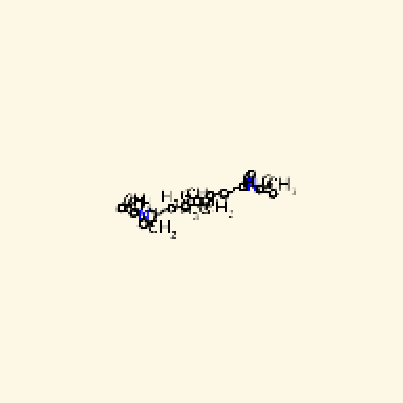 C=C1/C=C(/C=C/c2ccc(-c3ccc4c(c3)C(C)(C)c3cc5c(cc3-4)C(C)(C)c3cc(-c4ccc(/C=C/c6ccc7c(c6)c6ccccc6n7-c6ccc7c(c6)C(C)(C)c6ccccc6-7)cc4)ccc3-5)cc2)\C=C/CN(c2ccc3c(c2)C(C)(C)c2ccccc2-3)c2ccccc21